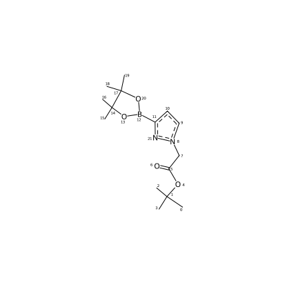 CC(C)(C)OC(=O)Cn1ccc(B2OC(C)(C)C(C)(C)O2)n1